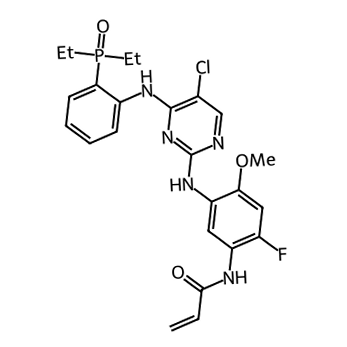 C=CC(=O)Nc1cc(Nc2ncc(Cl)c(Nc3ccccc3P(=O)(CC)CC)n2)c(OC)cc1F